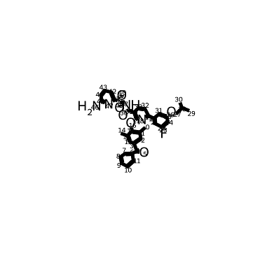 Cc1cc(C(=O)c2ccccc2)cc(C)c1Oc1nc(-c2cc(F)cc(OCC(C)C)c2)ccc1C(=O)NS(=O)(=O)c1cccc(N)n1